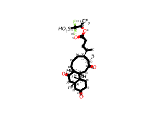 CC(CCC(=O)OC(C(F)(F)F)C(F)(F)S(=O)(=O)O)[C@@H]1CCC[C@H]2C(=O)C[C@H]3CC(=O)CC[C@@]3(C)[C@H]2CC(=O)[C@H]1C